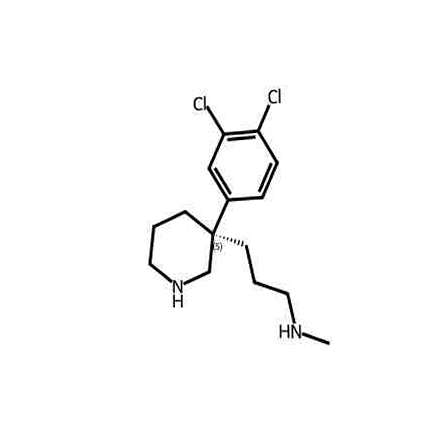 CNCCC[C@@]1(c2ccc(Cl)c(Cl)c2)CCCNC1